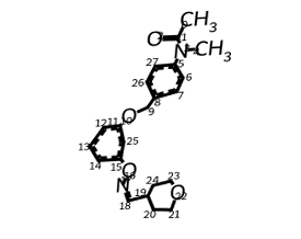 CC(=O)N(C)c1ccc(COc2cccc(O/N=C\C3CCOCC3)c2)cc1